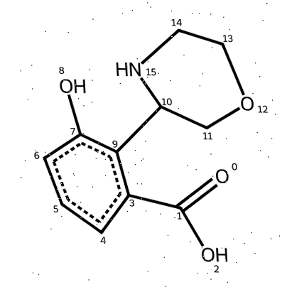 O=C(O)c1cccc(O)c1C1COCCN1